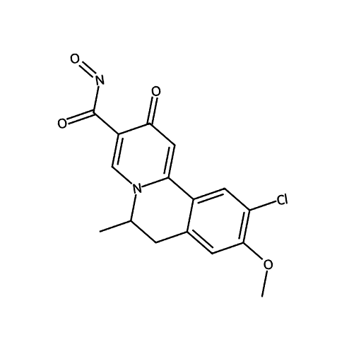 COc1cc2c(cc1Cl)-c1cc(=O)c(C(=O)N=O)cn1C(C)C2